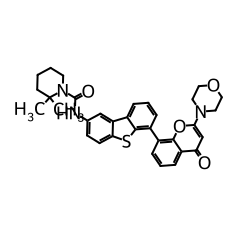 CC1(C)CCCCN1C(=O)Nc1ccc2sc3c(-c4cccc5c(=O)cc(N6CCOCC6)oc45)cccc3c2c1